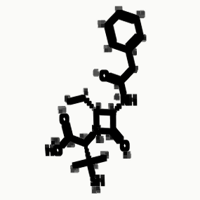 CC[C@@H]1[C@H](NC(=O)Cc2ccccc2)C(=O)N1[C@@H](C(=O)O)C(C)(C)S